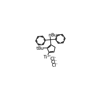 CCCCC(C1=C(C(C)(C)C)[C]([Ti+3])=CC1)(c1ccccc1)c1ccccc1.[Cl-].[Cl-].[Cl-]